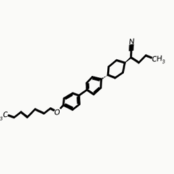 CCCCCCCOc1ccc(-c2ccc([C@H]3CC[C@H](C(C#N)CCC)CC3)cc2)cc1